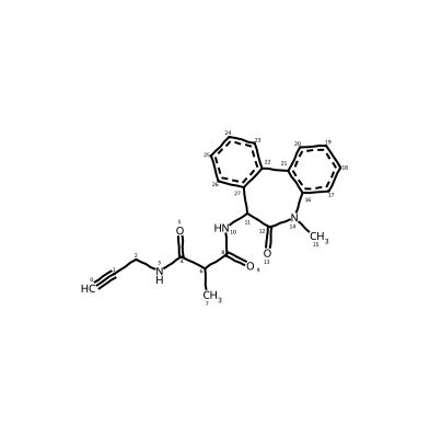 C#CCNC(=O)C(C)C(=O)NC1C(=O)N(C)c2ccccc2-c2ccccc21